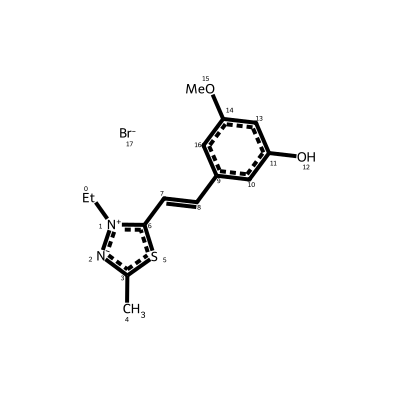 CC[n+]1nc(C)sc1C=Cc1cc(O)cc(OC)c1.[Br-]